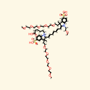 COCCOCCOCCOCCOCCC1(C)C(/C=C/C=C/C=C/C=C2/N(CCOC)c3ccc(S(=O)(=O)O)cc3C2(C)CCOCCOCCOCCOCCOC)=[N+](CCCCCC(=O)O)c2ccc(S(=O)(=O)O)cc21